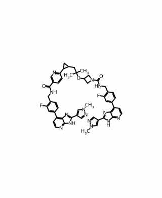 Cn1cc(-c2nc3c(-c4ccc(CNC(=O)c5ccc(C6CC6CC(C)(C)OC6CN(C(=O)NCc7ccc(-c8ccnc9[nH]c(-c%10cnn(C)c%10)nc89)cc7F)C6)nc5)c(F)c4)ccnc3[nH]2)cn1